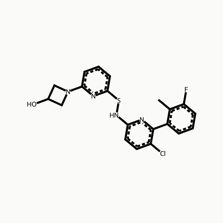 Cc1c(F)cccc1-c1nc(NSc2cccc(N3CC(O)C3)n2)ccc1Cl